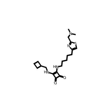 CN(C)Cc1nc(CCCCCNc2c(NCC3CCC3)c(=O)c2=O)cs1